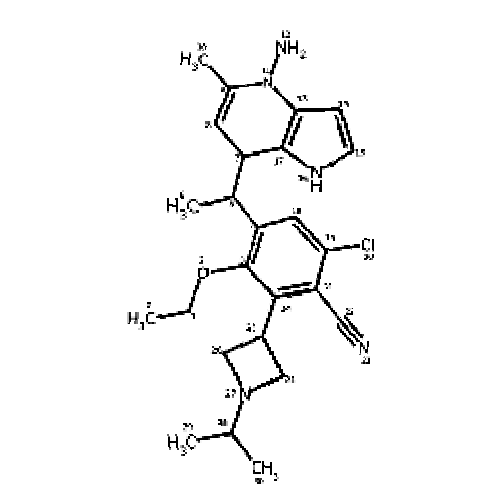 CCOc1c(C(C)C2C=C(C)N(N)c3cc[nH]c32)cc(Cl)c(C#N)c1C1CN(C(C)C)C1